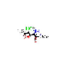 COC(=O)C(N)CCC(O)C(F)(F)F.Cl